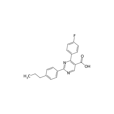 CCCc1ccc(-c2ncc(C(=O)O)c(-c3ccc(F)cc3)n2)cc1